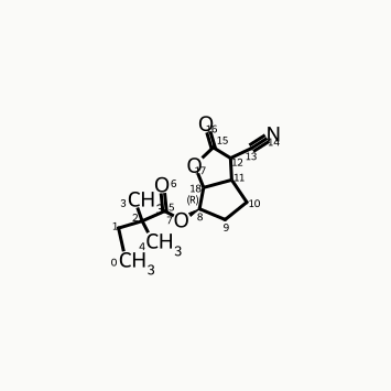 CCC(C)(C)C(=O)O[C@@H]1CCC2C(C#N)C(=O)OC21